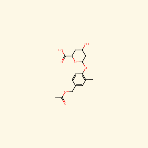 CC(=O)OCc1ccc(OC2CC(O)CC(C(=O)O)O2)c(C)c1